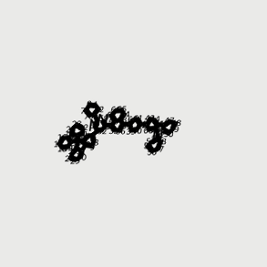 c1ccc(-c2nc(-c3ccc4c(c3)C(c3ccccc3)(c3ccccc3)c3ccccc3-4)cc(-c3ccc(-c4ccc(-c5ccc6c7ccccc7n(-c7ccccc7)c6c5)cc4)c4ccccc34)n2)cc1